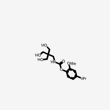 CCCc1ccc(OC(=O)NCC(CO)(CO)CO)c(OC)c1